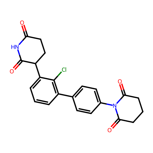 O=C1CCC(c2cccc(-c3ccc(N4C(=O)CCCC4=O)cc3)c2Cl)C(=O)N1